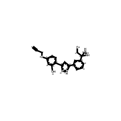 C#CCOc1ccc(-c2cc(-c3cccc(C4(CF)NN4)c3)[nH]n2)c(O)c1